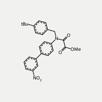 COC(=O)C(=O)N(Cc1ccc(C(C)(C)C)cc1)c1ccc(-c2cccc([N+](=O)[O-])c2)cc1